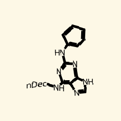 CCCCCCCCCCNc1nc(Nc2ccccc2)nc2[nH]cnc12